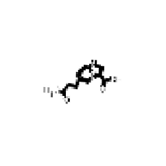 CC(=O)CCc1ccc2ncc(C(=O)O)n2c1